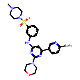 CNc1ccc(-c2cc(Nc3cccc(S(=O)(=O)N4CCN(C)CC4)c3)nc(N3CCOCC3)n2)cn1